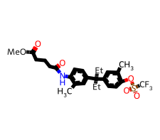 CCC(CC)(c1ccc(NC(=O)CCCC(=O)OC)c(C)c1)c1ccc(OS(=O)(=O)C(F)(F)F)c(C)c1